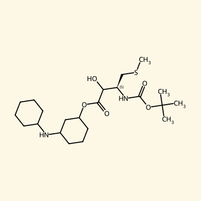 CSC[C@@H](NC(=O)OC(C)(C)C)C(O)C(=O)OC1CCCC(NC2CCCCC2)C1